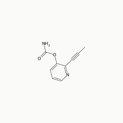 CC#Cc1ncccc1OC(N)=O